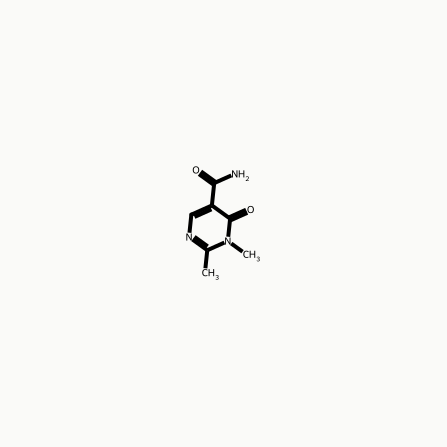 Cc1ncc(C(N)=O)c(=O)n1C